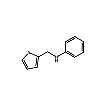 c1ccc(NCc2cccs2)cc1